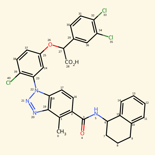 Cc1c(C(=O)NC2CCCc3ccccc32)ccc2c1nnn2-c1cc(OC(C(=O)O)c2ccc(Cl)c(Cl)c2)ccc1Cl